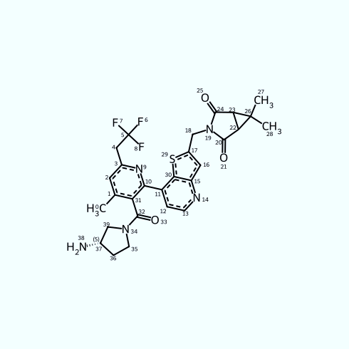 Cc1cc(CC(F)(F)F)nc(-c2ccnc3cc(CN4C(=O)C5C(C4=O)C5(C)C)sc23)c1C(=O)N1CC[C@H](N)C1